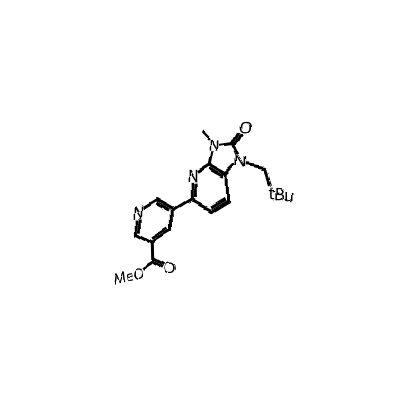 COC(=O)c1cncc(-c2ccc3c(n2)n(C)c(=O)n3CC(C)(C)C)c1